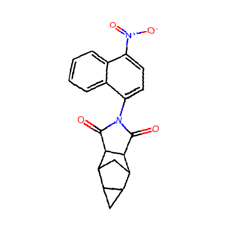 O=C1C2C3CC(C4CC43)C2C(=O)N1c1ccc([N+](=O)[O-])c2ccccc12